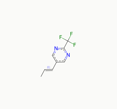 C/C=C/c1cnc(C(F)(F)F)nc1